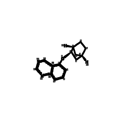 c1cc(O[C@@H]2C[C@H]3CC[C@@H]2C3)c2cncnc2c1